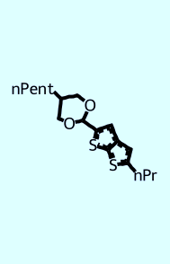 CCCCCC1COC(c2cc3cc(CCC)sc3s2)OC1